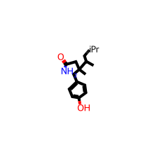 C[C](CC(C)C)C(C)(CC(N)=O)Cc1ccc(O)cc1